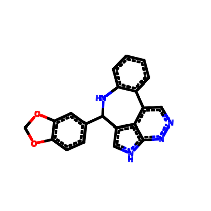 c1ccc2c(c1)NC(c1ccc3c(c1)OCO3)c1c[nH]c3nncc-2c13